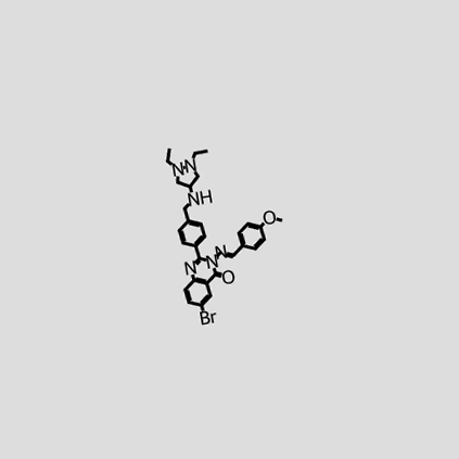 CCN1CC(NCc2ccc(-c3nc4ccc(Br)cc4c(=O)n3N=Cc3ccc(OC)cc3)cc2)CN1CC